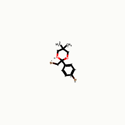 CC1(C)COC(CBr)(c2ccc(Br)cc2)OC1